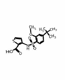 COc1cc(C(C)(C)C)ccc1S(=O)(=O)Nc1ccsc1C(=O)O